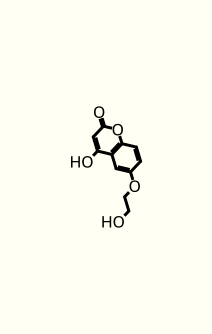 O=c1cc(O)c2cc(OCCO)ccc2o1